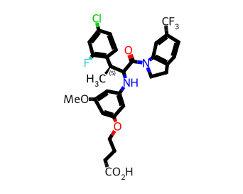 COc1cc(NC(C(=O)N2CCc3ccc(C(F)(F)F)cc32)[C@@H](C)c2ccc(Cl)cc2F)cc(OCCCC(=O)O)c1